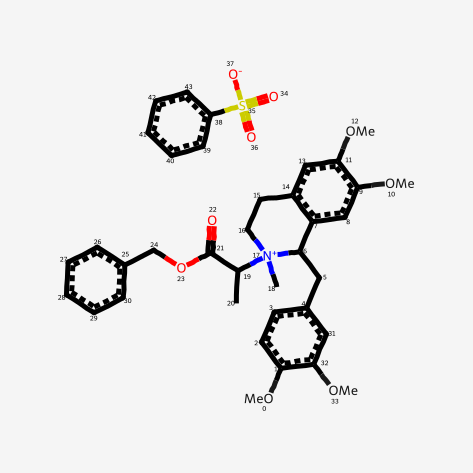 COc1ccc(CC2c3cc(OC)c(OC)cc3CC[N+]2(C)C(C)C(=O)OCc2ccccc2)cc1OC.O=S(=O)([O-])c1ccccc1